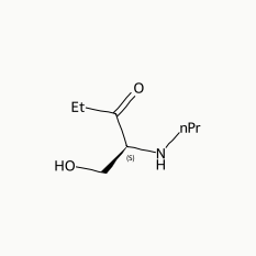 CCCN[C@@H](CO)C(=O)CC